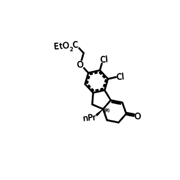 CCC[C@]12CCC(=O)C=C1c1c(cc(OCC(=O)OCC)c(Cl)c1Cl)C2